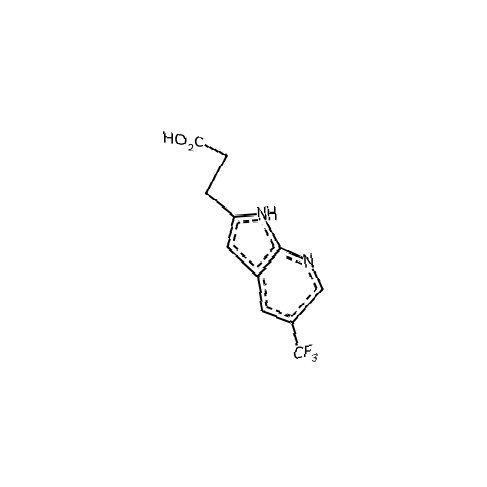 O=C(O)CCc1cc2cc(C(F)(F)F)cnc2[nH]1